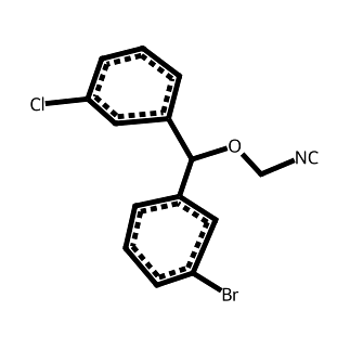 [C-]#[N+]COC(c1cccc(Cl)c1)c1cccc(Br)c1